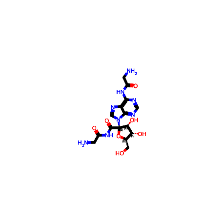 NCC(=O)NC(=O)[C@@]1(n2cnc3c(NC(=O)CN)ncnc32)O[C@H](CO)[C@@H](O)[C@H]1O